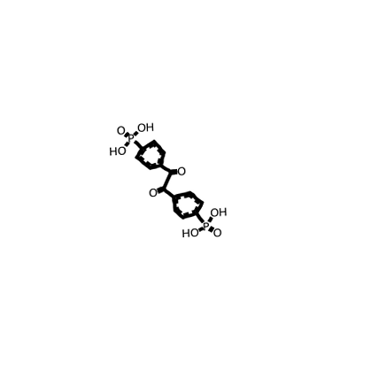 O=C(C(=O)c1ccc(P(=O)(O)O)cc1)c1ccc(P(=O)(O)O)cc1